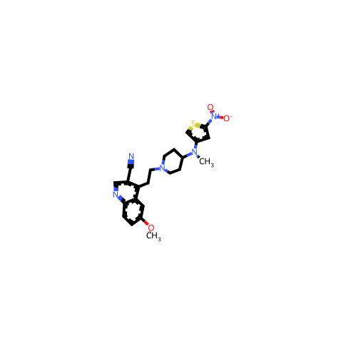 COc1ccc2ncc(C#N)c(CCN3CCC(N(C)c4csc([N+](=O)[O-])c4)CC3)c2c1